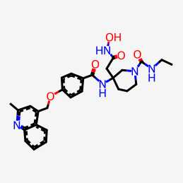 CCNC(=O)N1CCCC(CC(=O)NO)(NC(=O)c2ccc(OCc3cc(C)nc4ccccc34)cc2)C1